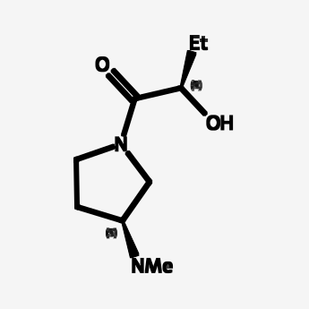 CC[C@@H](O)C(=O)N1CC[C@H](NC)C1